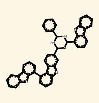 c1ccc(C2NC(c3ccc4c(c3)sc3cccc(-c5cccc6c5oc5ccccc56)c34)NC(c3cccc4c3sc3ccccc34)N2)cc1